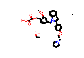 CCO.COc1cc(Cn2c(-c3ccc(OCCN4CCCC4)cc3)cc3ccccc32)ccc1COC(=O)C(=O)O